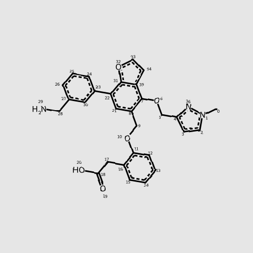 Cn1ccc(COc2c(COc3ccccc3CC(=O)O)cc(-c3cccc(CN)c3)c3occc23)n1